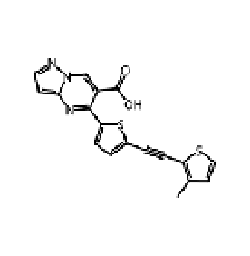 Cc1ccsc1C#Cc1ccc(-c2nc3ccnn3cc2C(=O)O)s1